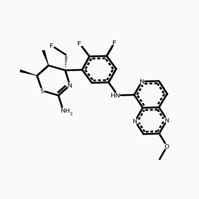 COc1cnc2c(Nc3cc(F)c(F)c([C@@]4(CF)N=C(N)S[C@@H](C)[C@H]4C)c3)nccc2n1